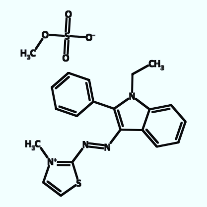 CCn1c(-c2ccccc2)c(N=Nc2scc[n+]2C)c2ccccc21.COS(=O)(=O)[O-]